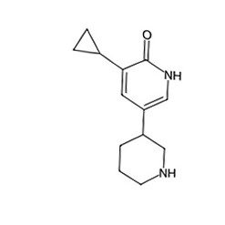 O=c1[nH]cc(C2CCCNC2)cc1C1CC1